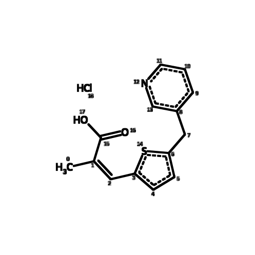 CC(=Cc1ccc(Cc2cccnc2)s1)C(=O)O.Cl